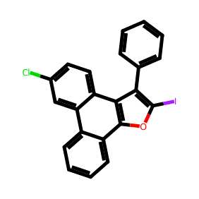 Clc1ccc2c(c1)c1ccccc1c1oc(I)c(-c3ccccc3)c21